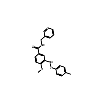 COc1ccc(C(=O)NCc2cccnc2)cc1NSc1ccc(C)cc1